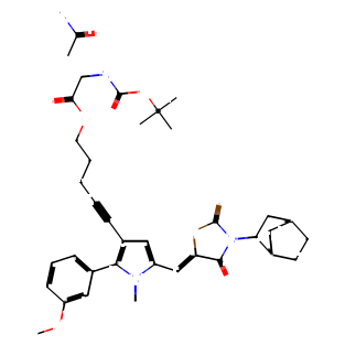 COc1cccc(-c2c(C#CCCCOC(=O)[C@H](CC(N)=O)NC(=O)OC(C)(C)C)cc(/C=C3\SC(=S)N(C4CC5CCC4C5)C3=O)n2C)c1